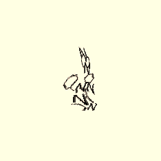 C=C1C(C)=NC(c2nc3ccc(N4CCN(C)CC4)cc3n2Cc2ccccc2)=CN1C